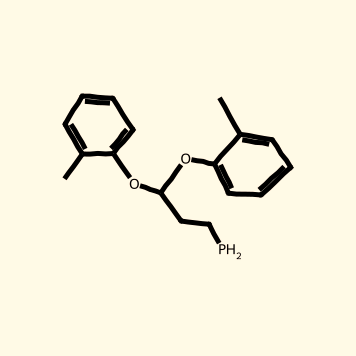 Cc1ccccc1OC(CCP)Oc1ccccc1C